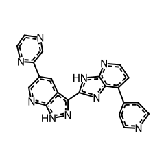 c1cc(-c2ccnc3[nH]c(-c4n[nH]c5ncc(-c6cnccn6)cc45)nc23)ccn1